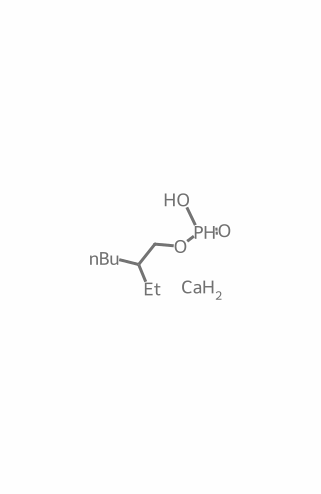 CCCCC(CC)CO[PH](=O)O.[CaH2]